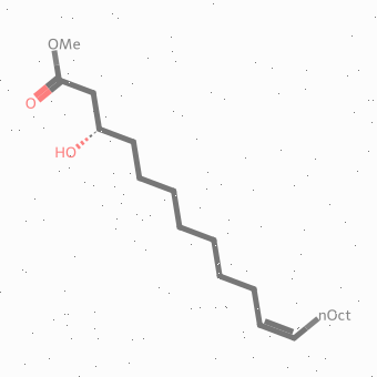 CCCCCCCC/C=C\CCCCCCC[C@H](O)CC(=O)OC